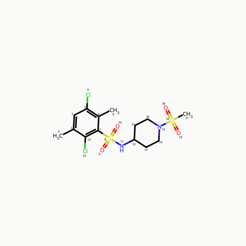 Cc1cc(Cl)c(C)c(S(=O)(=O)NC2CCN(S(C)(=O)=O)CC2)c1Cl